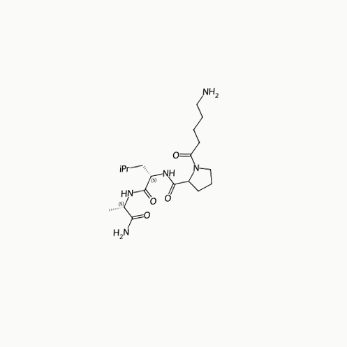 CC(C)C[C@H](NC(=O)C1CCCN1C(=O)CCCCN)C(=O)N[C@@H](C)C(N)=O